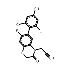 C#CCN1C(=O)COc2cc(F)c(-c3c(Cl)cc(C)cc3Cl)cc21